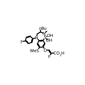 CCCCC1CN(c2ccc(F)cc2)c2cc(SC)c(O/C=C(\F)C(=O)O)cc2S(O)(O)N1C